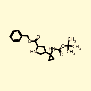 CC(C)(C)OC(=O)NC1(C2CNC(C(=O)OCc3ccccc3)C2)CC1